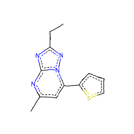 CCc1nc2nc(C)cc(-c3cccs3)n2n1